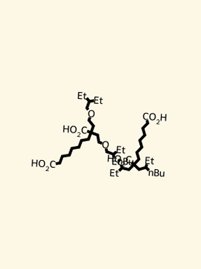 CCC(CC)COCCC(CCCCCCCC(=O)O)(CCOCC(CC)CC)C(=O)O.CCCCC(CC)CC(CCCCCCCC(=O)O)(CC(CC)CCCC)C(=O)O